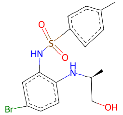 Cc1ccc(S(=O)(=O)Nc2cc(Br)ccc2N[C@@H](C)CO)cc1